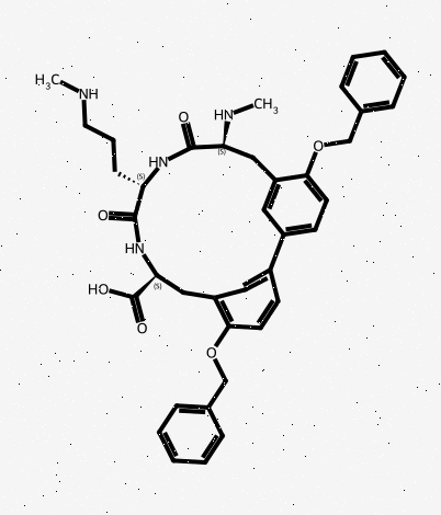 CNCCC[C@@H]1NC(=O)[C@@H](NC)Cc2cc(ccc2OCc2ccccc2)-c2ccc(OCc3ccccc3)c(c2)C[C@@H](C(=O)O)NC1=O